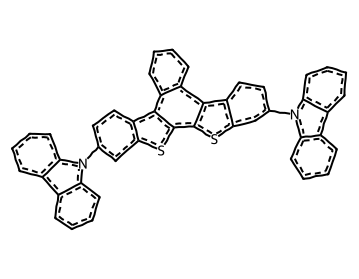 c1ccc2c(c1)c1c3ccc(-n4c5ccccc5c5ccccc54)cc3sc1c1sc3cc(-n4c5ccccc5c5ccccc54)ccc3c21